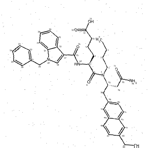 CCCCN(C(=O)[C@H](CCCC(=O)O)NC(=O)c1cn(Cc2ccccc2)c2ccccc12)[C@H](CC(N)=O)Cc1ccc2cc(CC)ccc2c1